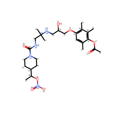 CC(=O)Oc1c(C)cc(OCC(O)CNC(C)(C)CNC(=O)N2CCC(C(C)O[N+](=O)[O-])CC2)c(C)c1C